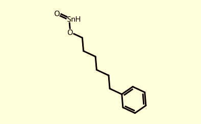 [O]=[SnH][O]CCCCCCc1ccccc1